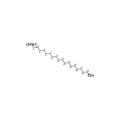 [O-][NH2+]CCCCCCCCCCCCCCCCCCO